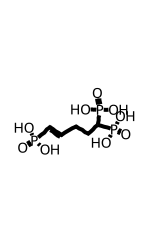 O=P(O)(O)/C=C/CCC(P(=O)(O)O)P(=O)(O)O